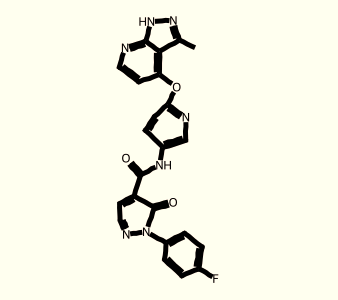 Cc1n[nH]c2nccc(Oc3ccc(NC(=O)c4ccnn(-c5ccc(F)cc5)c4=O)cn3)c12